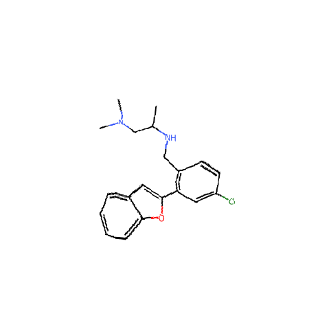 CC(CN(C)C)NCc1ccc(Cl)cc1-c1cc2ccccc2o1